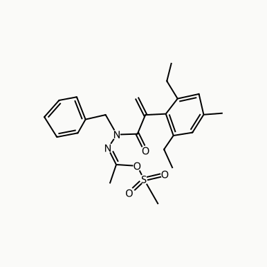 C=C(C(=O)N(Cc1ccccc1)/N=C(/C)OS(C)(=O)=O)c1c(CC)cc(C)cc1CC